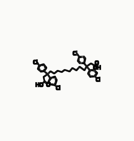 O=C(O)CC(CCCCCCCCCCC(CC(=O)O)(c1ccc(Cl)cc1)c1ccc(Cl)cc1)(c1ccc(Cl)cc1)c1ccc(Cl)cc1